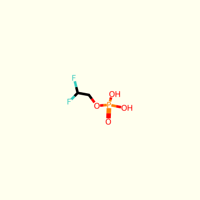 O=P(O)(O)OCC(F)F